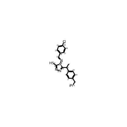 CC(C)Cc1ccc(C(C)c2nnc(S)n2/N=C/c2ccc(Cl)cc2)cc1